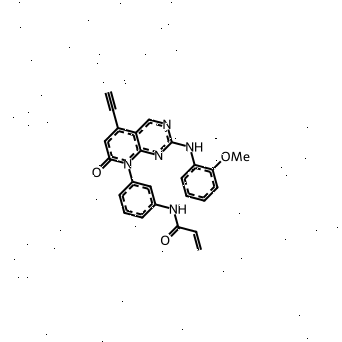 C#Cc1cc(=O)n(-c2cccc(NC(=O)C=C)c2)c2nc(Nc3ccccc3OC)ncc12